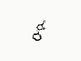 O=C1CC[C@H](c2ccccc2)N1